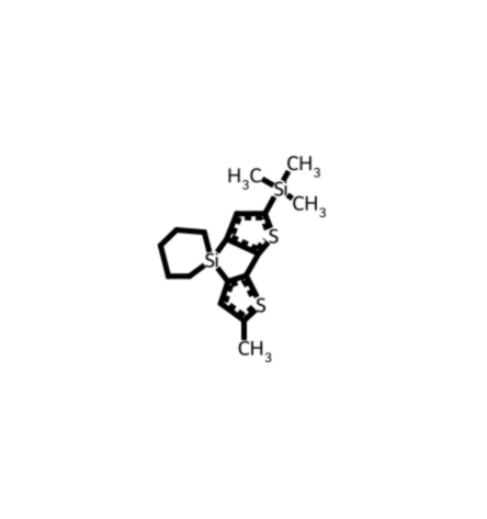 Cc1cc2c(s1)-c1sc([Si](C)(C)C)cc1[Si]21CCCCC1